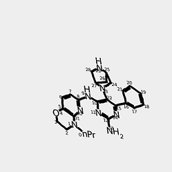 CCCN1CCOc2ccc(Nc3nc(N)nc(-c4ccccc4)c3N3CC4CC3CN4)nc21